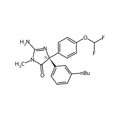 CCCCc1cccc([C@]2(c3ccc(OC(F)F)cc3)N=C(N)N(C)C2=O)c1